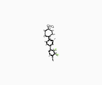 Cc1ccc(-c2ccc(C3CCC(C=O)CC3)cc2)c(F)c1F